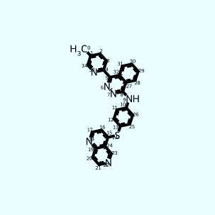 Cc1ccc(-c2nnc(Nc3ccc(Sc4ccnc5ccncc45)cc3)c3ccccc23)nc1